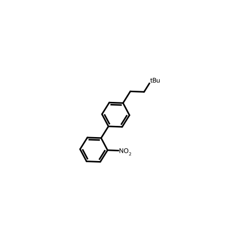 CC(C)(C)CCc1ccc(-c2ccccc2[N+](=O)[O-])cc1